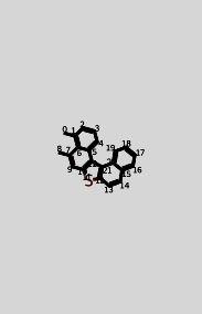 Cc1cccc2c1c(C)cc1sc3ccc4ccccc4c3c12